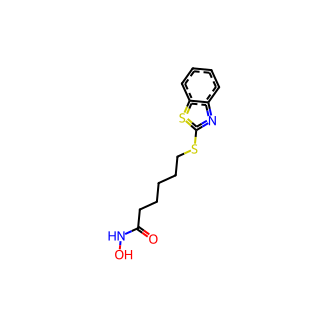 O=C(CCCCCSc1nc2ccccc2s1)NO